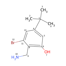 CC(C)(C)c1cc(O)c(CN)c(Br)c1